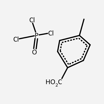 Cc1ccc(C(=O)O)cc1.O=P(Cl)(Cl)Cl